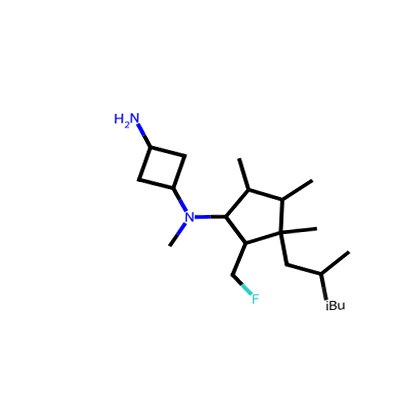 CCC(C)C(C)CC1(C)C(C)C(C)C(N(C)C2CC(N)C2)C1CF